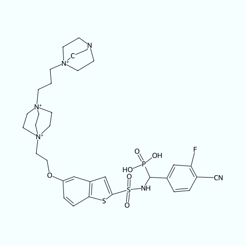 N#Cc1ccc(C(NS(=O)(=O)c2cc3cc(OCC[N+]45CC[N+](CCC[N+]67CCN(CC6)CC7)(CC4)CC5)ccc3s2)P(=O)(O)O)cc1F